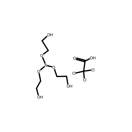 O=C(O)C(Cl)(Cl)Cl.OCCON(OCCO)OCCO